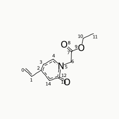 C=Cc1ccn(CC(=O)OCC)c(=O)c1